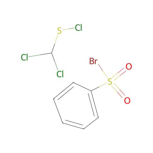 ClSC(Cl)Cl.O=S(=O)(Br)c1ccccc1